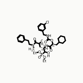 CCOP(=O)(OCC)C(O)[C@H](CC(C)C(=O)N(C)CCc1ccccc1)NC(=O)[C@H](CC1CCCCC1)OC(=O)NCc1cccc(Cl)c1